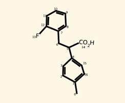 Cc1ccc(C(Cc2ccccc2F)C(=O)O)cc1